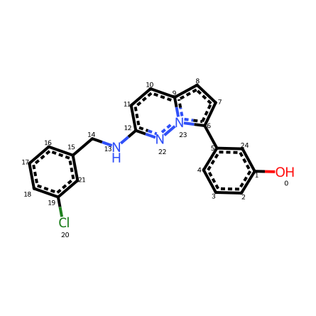 Oc1cccc(-c2ccc3ccc(NCc4cccc(Cl)c4)nn23)c1